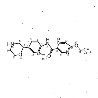 O=C(Nc1ccc(C2CNCCO2)cc1F)c1cnc(OCC(F)(F)F)cn1